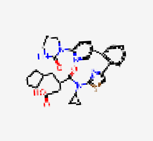 O=C(O)CC(CC1CCCC1)C(=O)N(c1nc(-c2ccccc2-c2ccc(N3CCCNC3=O)nc2)cs1)C1CC1